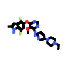 CCN1CCN(c2ccc(Nc3ncnc(Oc4cc(F)c5[nH]c(C)cc5c4F)c3OC)nc2)CC1